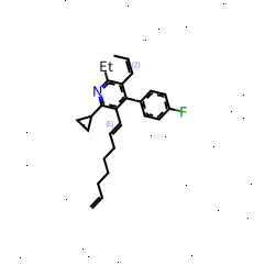 C=CCCCC/C=C/c1c(C2CC2)nc(CC)c(/C=C\C)c1-c1ccc(F)cc1